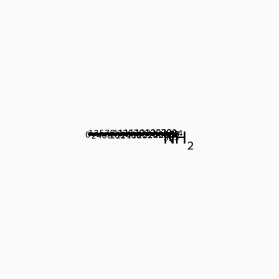 CCCCCCCCCCCCCCCCCCCCCCCCCCCCCCC(N)CC(C)C